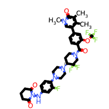 Cc1c(-c2ccc(C(=O)N3CC[C@H](N4CCN(c5ccc(NN6C(=O)CCCC6=O)cc5F)CC4)C(F)(F)C3)c(OC(F)(F)F)c2)cn(C)c(=O)c1C